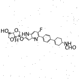 O=CNC1CC=C(c2ccc(-c3nc4cc(O[C@@H]5COC6[C@H](O)CO[C@@H]65)[nH]c4cc3F)cc2)CC1